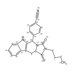 CCCCN1C(=O)C2Cc3c([nH]c4ccccc34)C(c3ccc(C#N)cc3)N2C1=O